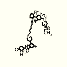 CC[S+]([O-])N1CCN(c2ncnc3c(F)c(-c4c(F)cccc4OCCCCCCCN4CCC(c5cc(F)cc6c5CN(C5CCC(=O)NC5=O)C6=O)CC4)c(Cl)cc23)CC1